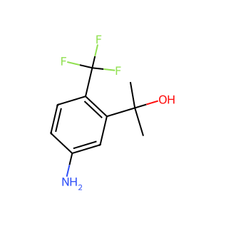 CC(C)(O)c1cc(N)ccc1C(F)(F)F